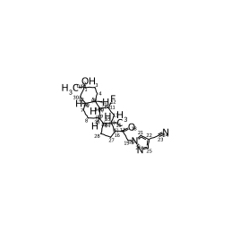 C[C@@]1(O)CC[C@H]2[C@H](CC[C@@H]3[C@@H]2[C@@H](F)C[C@]2(C)[C@@H](C(=O)Cn4cc(C#N)cn4)CC[C@@H]32)C1